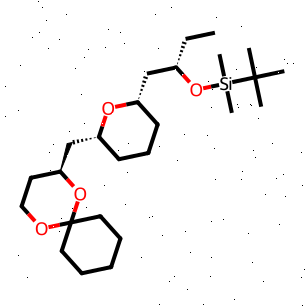 CC[C@@H](C[C@@H]1CCC[C@H](C[C@@H]2CCOC3(CCCCC3)O2)O1)O[Si](C)(C)C(C)(C)C